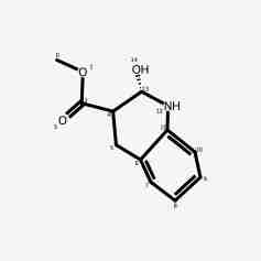 COC(=O)C1Cc2ccccc2N[C@H]1O